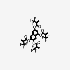 C=C(C(=O)Oc1cc(OC(=O)C(=C)C(F)(F)F)c2cc(OC(=O)C(=C)C(F)(F)F)c(OC(=O)C(=C)C(F)(F)F)cc2c1)C(F)(F)F